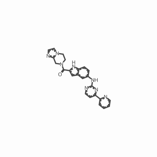 O=C(c1cc2cc(Nc3nccc(-c4ccccn4)n3)ccc2[nH]1)N1CCn2ccnc2C1